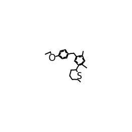 CCOc1ccc(Cc2cc(C3CCCC(C)S3)c(C)cc2C)cc1